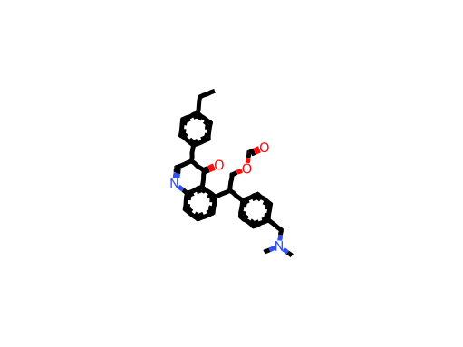 CCc1ccc(C2C=Nc3cccc(C(COC=O)c4ccc(CN(C)C)cc4)c3C2=O)cc1